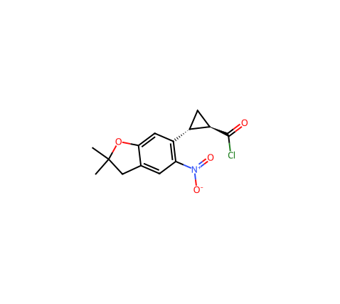 CC1(C)Cc2cc([N+](=O)[O-])c([C@@H]3C[C@H]3C(=O)Cl)cc2O1